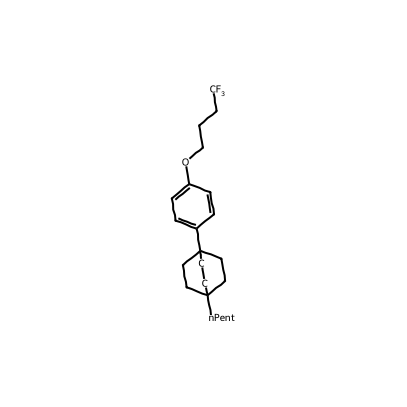 CCCCCC12CCC(c3ccc(OCCCC(F)(F)F)cc3)(CC1)CC2